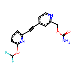 NC(=O)OCc1cc(C#Cc2cccc(OC(F)F)n2)ccn1